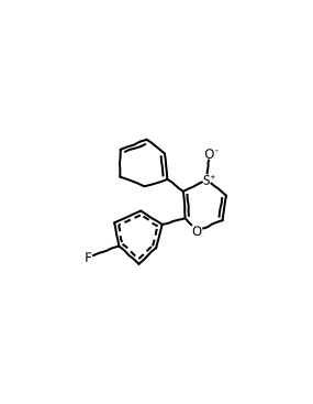 [O-][S+]1C=COC(c2ccc(F)cc2)=C1C1=CC=CCC1